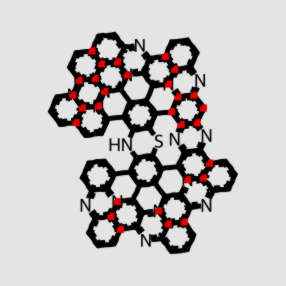 c1ccc2nc3c(-c4c5c(c(-c6cccc7nc8ccccc8nc67)c(-c6cccc7nc8ccccc8nc67)c4-c4cccc6nc7ccccc7nc46)Sc4c(c(-c6cccc7nc8ccccc8nc67)c(-c6cccc7nc8ccccc8nc67)c(-c6cccc7nc8ccccc8nc67)c4-c4cccc6nc7ccccc7nc46)N5)cccc3nc2c1